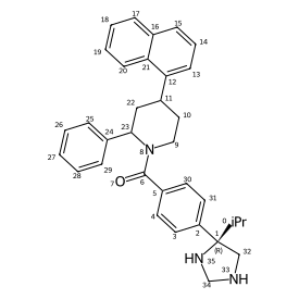 CC(C)[C@@]1(c2ccc(C(=O)N3CCC(c4cccc5ccccc45)CC3c3ccccc3)cc2)CNCN1